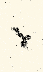 Nc1ncc(-c2nc(N3CCOCC3)nc(N3CCN(C(=O)CC4CCNCC4)CC3)n2)c(C(F)F)n1